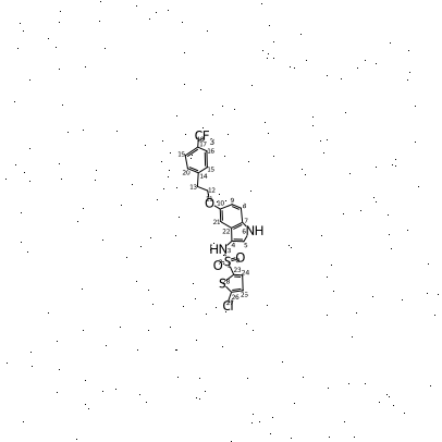 O=S(=O)(Nc1c[nH]c2ccc(OCCc3ccc(C(F)(F)F)cc3)cc12)c1ccc(Cl)s1